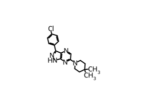 CC1(C)CCN(c2cnc3c(-c4ccc(Cl)cc4)n[nH]c3n2)CC1